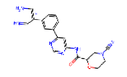 N#CN1CCOC(C(=O)Nc2cc(-c3cccc(/C(C=N)=C/N)c3)ncn2)C1